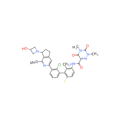 COc1nc(-c2cccc(-c3c(F)ccc(NC(=O)c4nn(C)c(=O)n(C)c4=O)c3C)c2Cl)cc2c1C(N1CC(O)C1)CC2